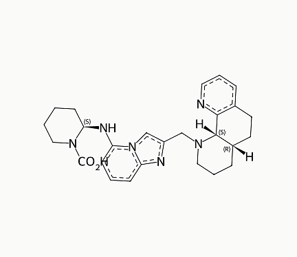 O=C(O)N1CCCC[C@H]1Nc1cccc2nc(CN3CCC[C@H]4CCc5cccnc5[C@H]43)cn12